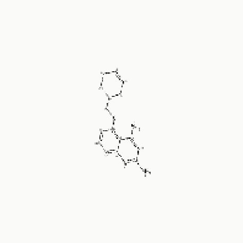 Nc1nc(N)c2c(OCC3CC=CCC3)cccc2n1